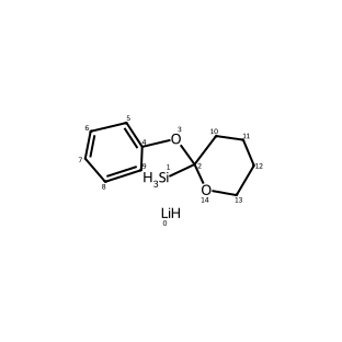 [LiH].[SiH3]C1(Oc2ccccc2)CCCCO1